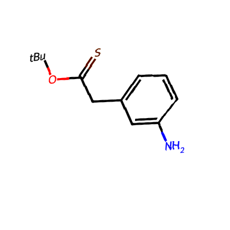 CC(C)(C)OC(=S)Cc1cccc(N)c1